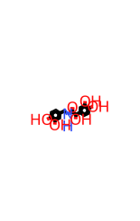 O=C(NCc1ccc(O)c(O)c1)C(O)c1ccc(O)c(O)c1